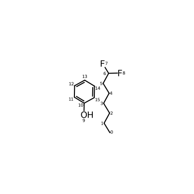 CCCCCCC(F)F.Oc1ccccc1